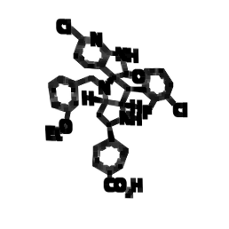 CCOc1cccc(CN2[C@H]3C[C@H](c4ccc(C(=O)O)cc4)N[C@H]3[C@H](c3cccc(Cl)c3F)[C@]23C(=O)Nc2nc(Cl)ccc23)c1